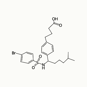 CC(C)CCCC(NS(=O)(=O)c1ccc(Br)cc1)c1ccc(CCCC(=O)O)cc1